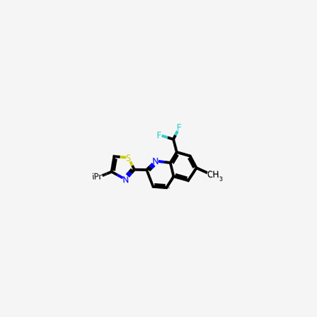 Cc1cc(C(F)F)c2nc(-c3nc(C(C)C)cs3)c[c]c2c1